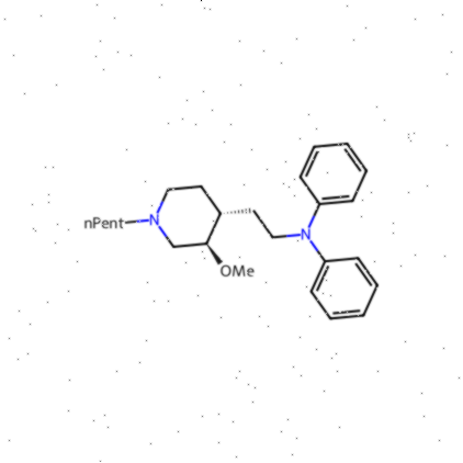 CCCCCN1CC[C@H](CCN(c2ccccc2)c2ccccc2)[C@@H](OC)C1